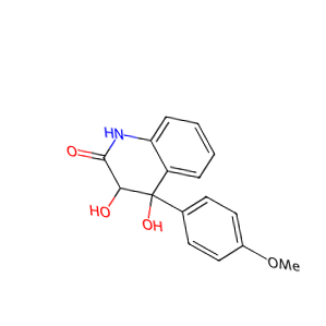 COc1ccc(C2(O)c3ccccc3NC(=O)C2O)cc1